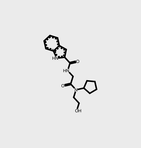 O=C(NCC(=O)N(CCO)C1CCCC1)c1cc2ccccc2[nH]1